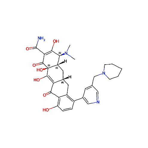 CN(C)[C@@H]1C(O)=C(C(N)=O)C(=O)[C@@]2(O)C(O)=C3C(=O)c4c(O)ccc(-c5cncc(CN6CCCCC6)c5)c4C[C@H]3C[C@@H]12